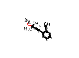 C#Cc1ccccc1C#CC(C)(C)OC(C)CC